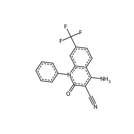 N#Cc1c(N)c2ccc(C(F)(F)F)cc2n(-c2ccccc2)c1=O